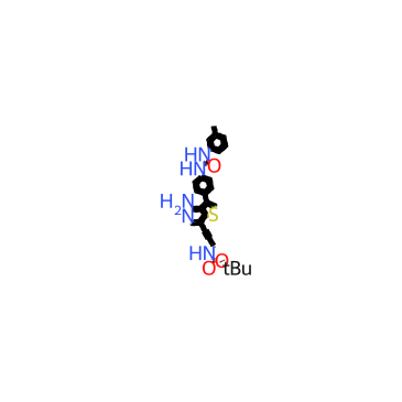 Cc1cccc(NC(=O)Nc2ccc(-c3csc4c(C#CCNC(=O)OC(C)(C)C)cnc(N)c34)cc2)c1